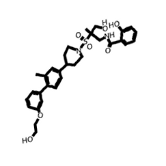 Cc1cc(C2CCN(S(=O)(=O)C(C)(CO)CNC(=O)c3ccccc3O)CC2)ccc1-c1cccc(OCCO)c1